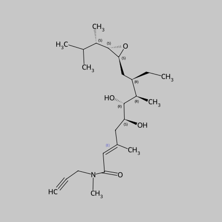 C#CCN(C)C(=O)/C=C(\C)C[C@H](O)[C@H](O)[C@H](C)[C@H](CC)C[C@@H]1O[C@H]1[C@@H](C)C(C)C